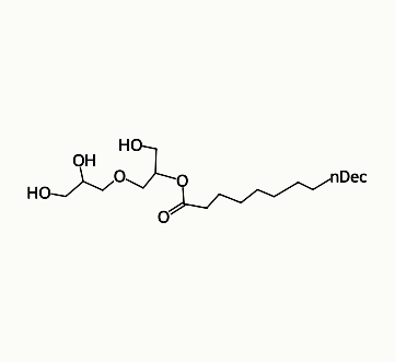 CCCCCCCCCCCCCCCCCC(=O)OC(CO)COCC(O)CO